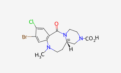 CN1CC[C@H]2CN(C(=O)O)CCN2C(=O)c2cc(Cl)c(Br)cc21